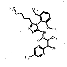 COCCCc1nnc(N[S+]([O-])C(C)C(O)c2ncc(C)cn2)n1-c1c(OC)cccc1OC